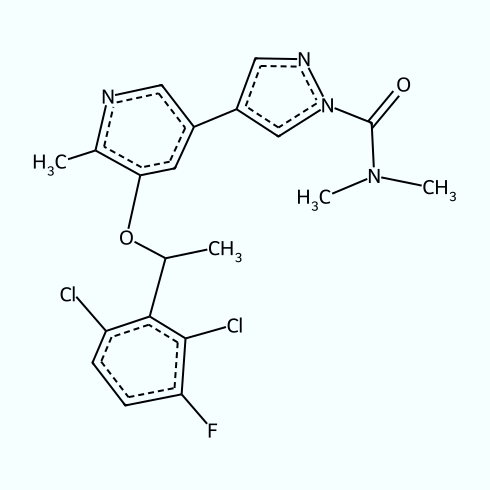 Cc1ncc(-c2cnn(C(=O)N(C)C)c2)cc1OC(C)c1c(Cl)ccc(F)c1Cl